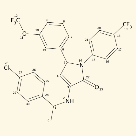 CC(NC1=CC(c2cccc(OC(F)(F)F)c2)N(c2ccc(C(F)(F)F)cc2)C1=O)c1ccc(Cl)cc1